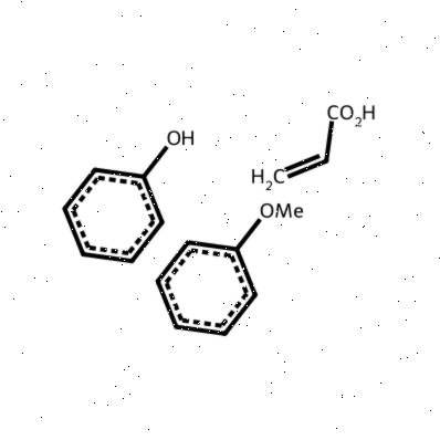 C=CC(=O)O.COc1ccccc1.Oc1ccccc1